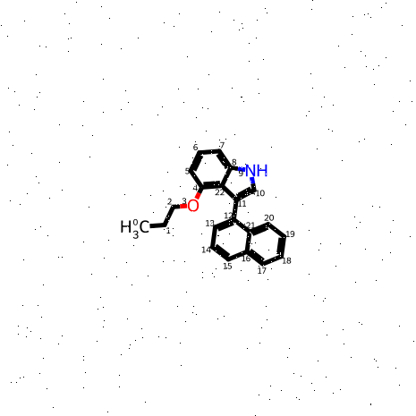 CCCOc1cccc2[nH][c]c(-c3cccc4ccccc34)c12